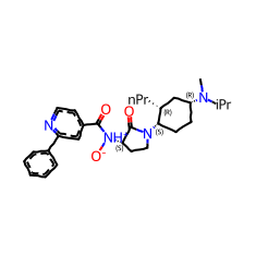 CCC[C@@H]1C[C@H](N(C)C(C)C)CC[C@@H]1N1CC[C@H]([NH+]([O-])C(=O)c2ccnc(-c3ccccc3)c2)C1=O